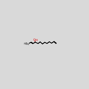 C=CCCCCCCCC(O)C=CCCCC